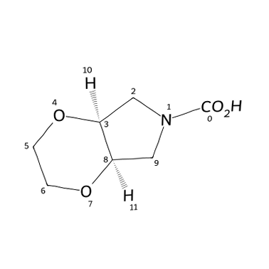 O=C(O)N1C[C@@H]2OCCO[C@@H]2C1